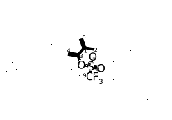 C=C(C)C(=C)OS(=O)(=O)C(F)(F)F